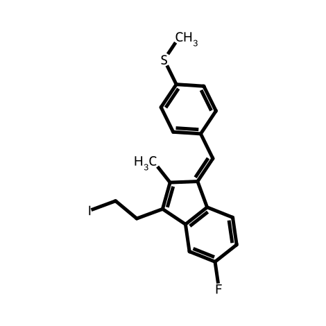 CSc1ccc(/C=C2\C(C)=C(CCI)c3cc(F)ccc32)cc1